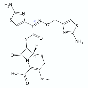 CSC1=C(C(=O)O)N2C(=O)C(NC(=O)/C(=N\OCc3csc(N)n3)c3csc(N)n3)[C@@H]2SC1